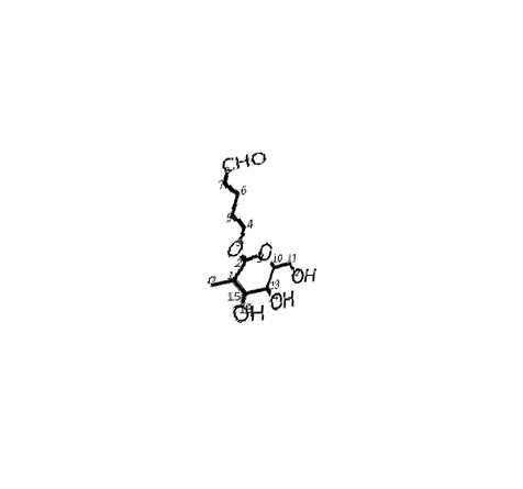 CC1C(OCCCCC=O)OC(CO)C(O)C1O